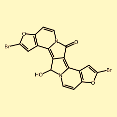 O=C1C2=C3c4cc(Br)oc4C=CN3C(O)C2=C2c3cc(Br)oc3C=CN12